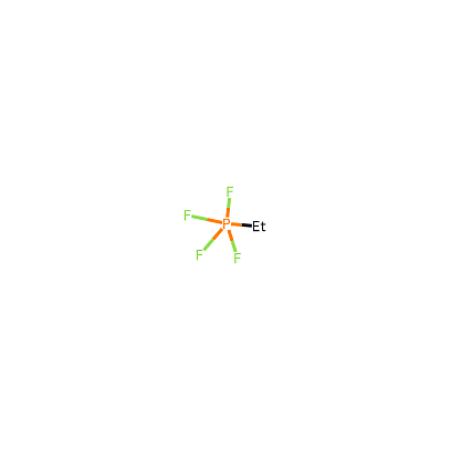 CCP(F)(F)(F)F